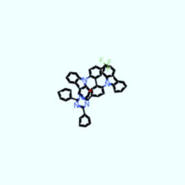 FC(F)(F)c1ccc(-n2c3ccccc3c3ccccc32)c(-c2cc(-c3nc(-c4ccccc4)nc(-c4ccccc4)n3)ccc2-n2c3ccccc3c3ccccc32)c1